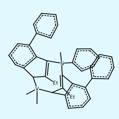 CCC1=C2c3c(-c4ccccc4)cccc3[CH]1[V]([CH3])([CH3])[CH]1C(CC)=C(c3c(-c4ccccc4)cccc31)[Si]2(C)c1ccccc1